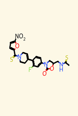 CC(=S)NCC1CN(c2ccc(C3=CCN(C(=S)c4ccc([N+](=O)[O-])o4)CC3)c(F)c2)C(=O)O1